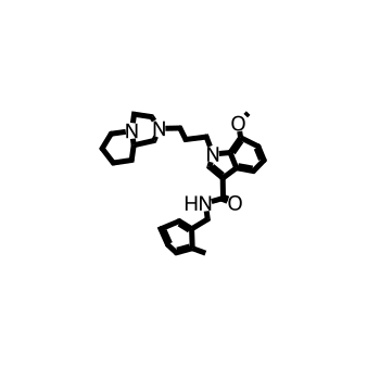 COc1cccc2c(C(=O)NCc3ccccc3C)cn(CCCN3CCN4CCCCC4C3)c12